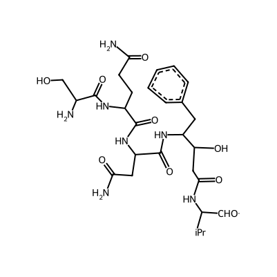 CC(C)C([C]=O)NC(=O)CC(O)C(Cc1ccccc1)NC(=O)C(CC(N)=O)NC(=O)C(CCC(N)=O)NC(=O)C(N)CO